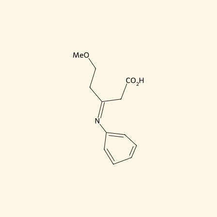 COCCC(CC(=O)O)=Nc1ccccc1